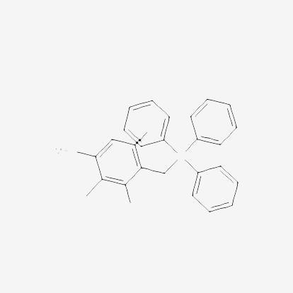 COc1cc(Cl)c(C[P+](c2ccccc2)(c2ccccc2)c2ccccc2)c(Cl)c1C.[Cl-]